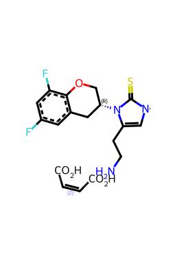 NCCC1=C[N]C(=S)N1[C@H]1COc2c(F)cc(F)cc2C1.O=C(O)/C=C\C(=O)O